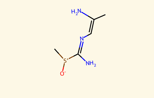 C/C(N)=C/N=C(\N)[S+](C)[O-]